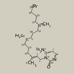 C/C(=C\Cn1c(N)ccnc1=O)CCC[C@H](C)CCC[C@H](C)CCCC(C)C